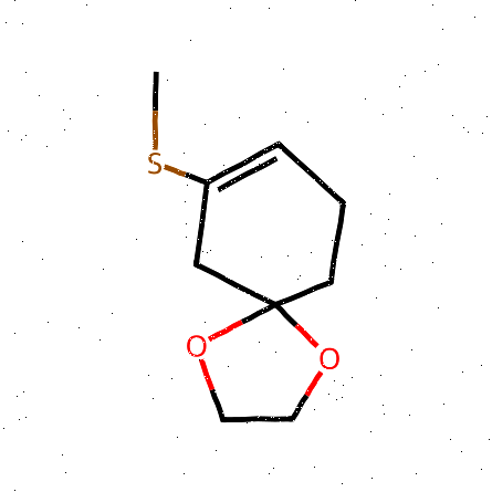 CSC1=CCCC2(C1)OCCO2